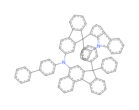 c1ccc(-c2ccc(N(c3ccc4c(c3)C3(c5ccccc5-4)c4ccccc4-n4c5ccccc5c5cccc3c54)c3cc4c(c5ccccc35)-c3ccccc3C4(c3ccccc3)c3ccccc3)cc2)cc1